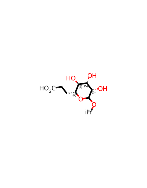 CC(C)OC1O[C@H](CCC(=O)O)[C@@H](O)[C@H](O)[C@@H]1O